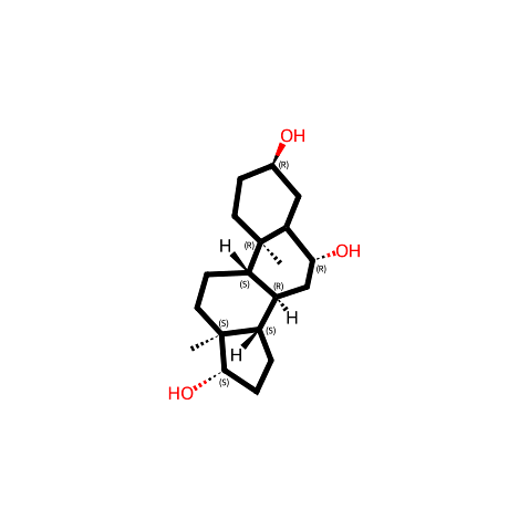 C[C@]12CC[C@H]3[C@@H](C[C@@H](O)C4C[C@H](O)CC[C@@]43C)[C@@H]1CC[C@@H]2O